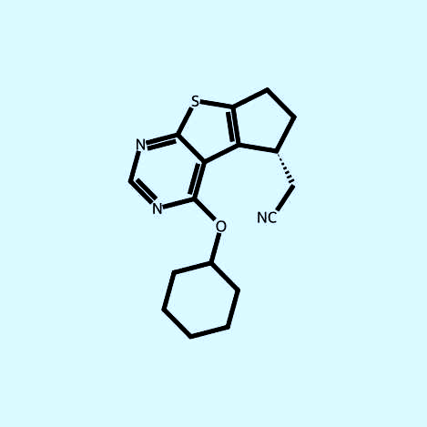 N#CC[C@H]1CCc2sc3ncnc(OC4CCCCC4)c3c21